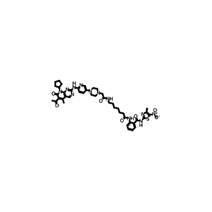 CC(=O)c1c(C)c2cnc(Nc3ccc(N4CCN(CC(=O)NCCCCCCC(=O)Nc5ccccc5C(=O)Nc5nc(C)c([N+](=O)[O-])s5)CC4)cn3)nc2n(C2CCCC2)c1=O